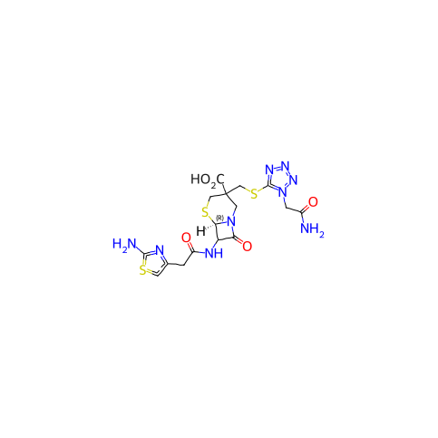 NC(=O)Cn1nnnc1SCC1(C(=O)O)CS[C@@H]2C(NC(=O)Cc3csc(N)n3)C(=O)N2C1